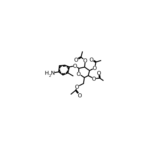 CC(=O)OCC1OC(Oc2ccc(N)cc2C)C(OC(C)=O)C(OC(C)=O)C1OC(C)=O